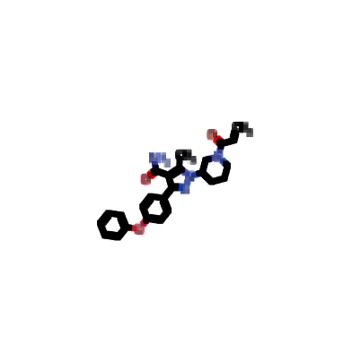 C=CC(=O)N1CCCC(n2nc(-c3ccc(Oc4ccccc4)cc3)c(C(N)=O)c2C)C1